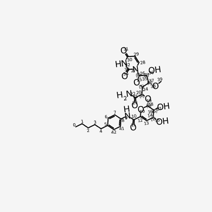 CCCCCc1ccc(NC(=O)C2=C[C@H](O)[C@H](O)[C@@H](O[C@@H](C(N)=O)[C@H]3O[C@@H](n4ccc(=O)[nH]c4=O)[C@H](O)[C@@H]3OC)O2)cc1